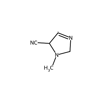 CN1CN=[C]C1C#N